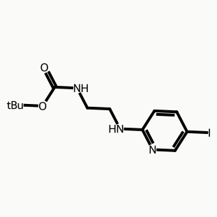 CC(C)(C)OC(=O)NCCNc1ccc(I)cn1